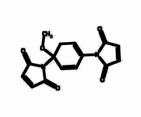 COC1(N2C(=O)C=CC2=O)C=CC(N2C(=O)C=CC2=O)=CC1